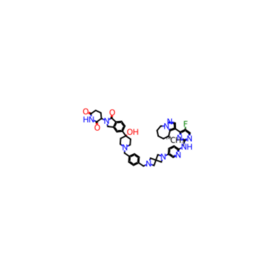 C[C@H]1CCCCn2ncc(-c3nc(Nc4ccc(N5CC6(CN(Cc7ccc(CN8CCC(O)(c9ccc%10c(c9)CN(C9CCC(=O)NC9=O)C%10=O)CC8)cc7)C6)C5)cn4)ncc3F)c21